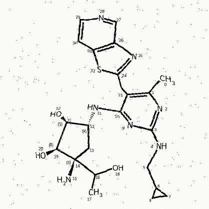 Cc1nc(NCC2CC2)nc(N[C@@H]2C[C@](N)(C(C)O)[C@@H](O)[C@H]2O)c1-c1nc2cnccc2s1